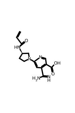 C=CC(=O)N[C@@H]1CCN(c2cc(C(=N)N)c(C(=O)O)cn2)C1